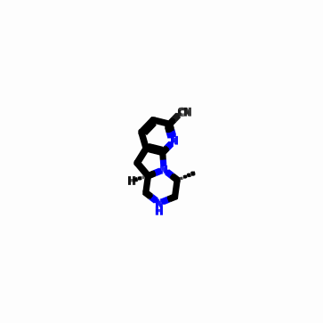 C[C@@H]1CNC[C@H]2Cc3ccc(C#N)nc3N21